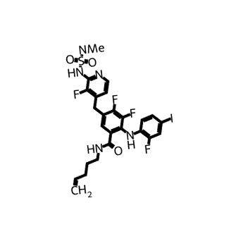 C=CCCCNC(=O)c1cc(Cc2ccnc(NS(=O)(=O)NC)c2F)c(F)c(F)c1Nc1ccc(I)cc1F